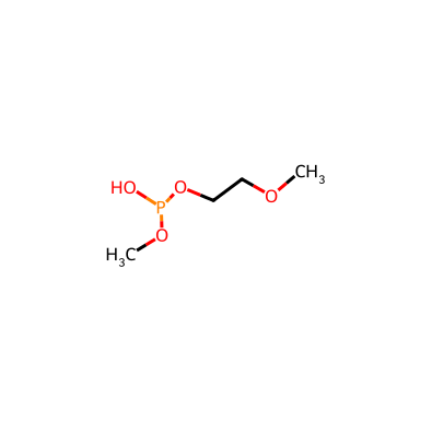 COCCOP(O)OC